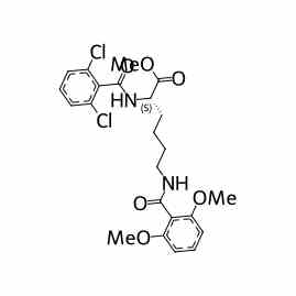 COC(=O)[C@H](CCCCNC(=O)c1c(OC)cccc1OC)NC(=O)c1c(Cl)cccc1Cl